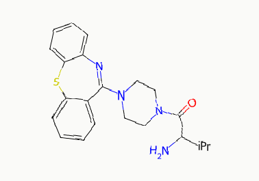 CC(C)C(N)C(=O)N1CCN(C2=Nc3ccccc3Sc3ccccc32)CC1